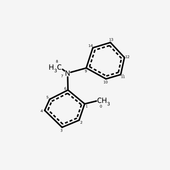 Cc1ccccc1N(C)c1c[c]ccc1